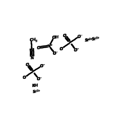 CC#N.O=P([O-])([O-])[O-].O=P([O-])([O-])[O-].O=[N+]([O-])O.[KH].[Sr+2].[Sr+2].[Sr+2]